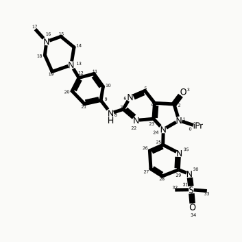 CC(C)n1c(=O)c2cnc(Nc3ccc(N4CCN(C)CC4)cc3)nc2n1-c1cccc(N=S(C)(C)=O)n1